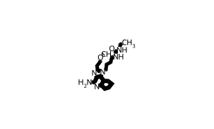 CCNC(=O)NCCCCn1c(CCOC)nc2c(N)nc3ccccc3c21